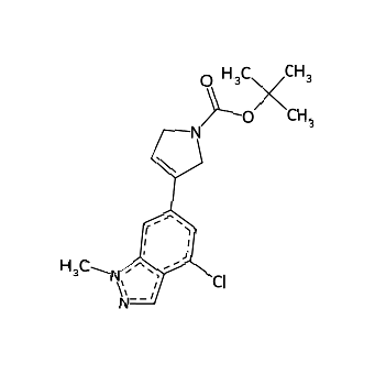 Cn1ncc2c(Cl)cc(C3=CCN(C(=O)OC(C)(C)C)C3)cc21